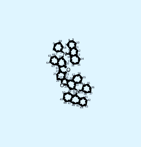 c1ccc(N(c2c3ccccc3cc3ccccc23)c2cc3oc4c(ccc5oc6cc(N(c7ccccc7)c7c8ccccc8cc8ccccc78)c7ccccc7c6c54)c3c3ccccc23)cc1